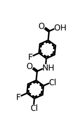 O=C(O)c1ccc(NC(=O)c2cc(F)c(Cl)cc2Cl)c(F)c1